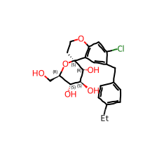 CCc1ccc(Cc2cc3c(cc2Cl)OCC[C@]32O[C@H](CO)[C@@H](O)[C@H](O)[C@H]2O)cc1